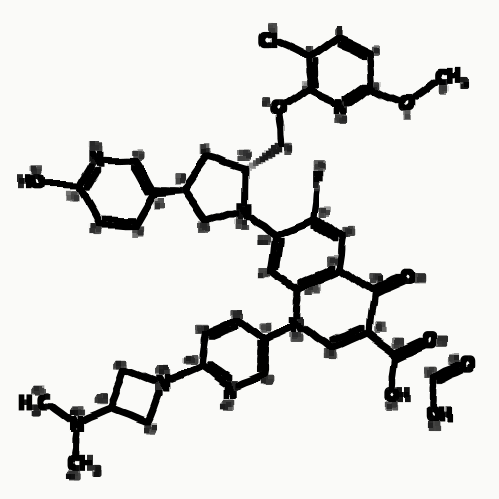 COc1ccc(Cl)c(OC[C@H]2C[C@H](c3ccc(O)nc3)CN2c2cc3c(cc2F)c(=O)c(C(=O)O)cn3-c2ccc(N3CC(N(C)C)C3)nc2)n1.O=CO